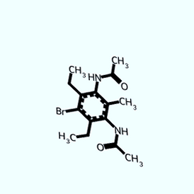 CCc1c(Br)c(CC)c(NC(C)=O)c(C)c1NC(C)=O